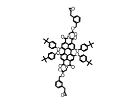 CC(C)(C)c1ccc(Oc2cc3c4c(cc(Oc5ccc(C(C)(C)C)cc5)c5c6c(Oc7ccc(C(C)(C)C)cc7)cc7c8c(cc(Oc9ccc(C(C)(C)C)cc9)c(c2c45)c86)C(=O)N(CC(=O)OCc2cccc(CC4CO4)c2)C7=O)C(=O)N(CC(=O)OCc2cccc(CC4CO4)c2)C3=O)cc1